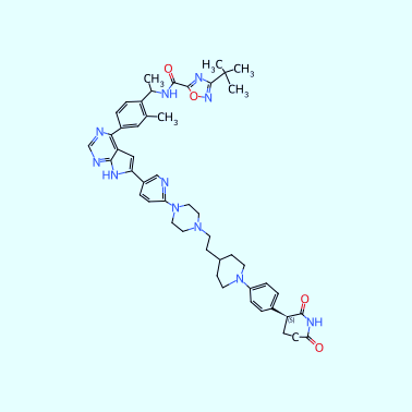 Cc1cc(-c2ncnc3[nH]c(-c4ccc(N5CCN(CCC6CCN(c7ccc([C@@H]8CCC(=O)NC8=O)cc7)CC6)CC5)nc4)cc23)ccc1C(C)NC(=O)c1nc(C(C)(C)C)no1